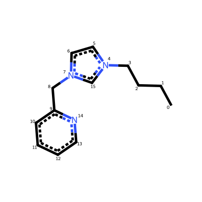 CCCCn1cc[n+](Cc2ccccn2)c1